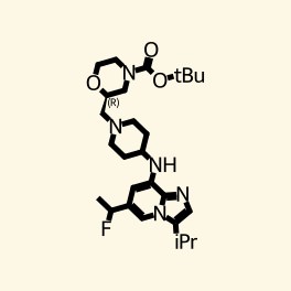 CC(C)c1cnc2c(NC3CCN(C[C@@H]4CN(C(=O)OC(C)(C)C)CCO4)CC3)cc(C(C)F)cn12